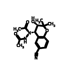 CC(=O)NN(C(C)=O)[C@H]1c2cc(C#N)ccc2OC(C)(C)[C@@H]1O